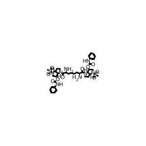 CS(=O)(=O)N1C[C@H](OC(=O)Nc2ccccc2)[C@@H]2[C@H]1CCN2C(=O)[C@@H](N)CCCC[C@H](N)C(=O)N1CC[C@@H]2[C@H]1[C@@H](OC(=O)Nc1ccccc1)CN2S(C)(=O)=O